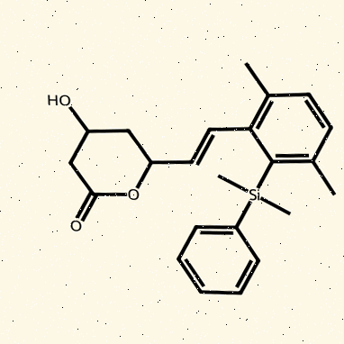 Cc1ccc(C)c([Si](C)(C)c2ccccc2)c1C=CC1CC(O)CC(=O)O1